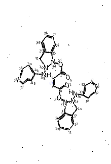 O=C(/C=C\C(=O)ON1c2ccccc2CN1Nc1ccncc1)ON1c2ccccc2CN1Nc1ccncc1